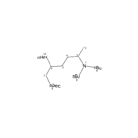 CCCCCCCCCCCC([CH]CC(C)N(CCCC)CCCC)CCCCCC